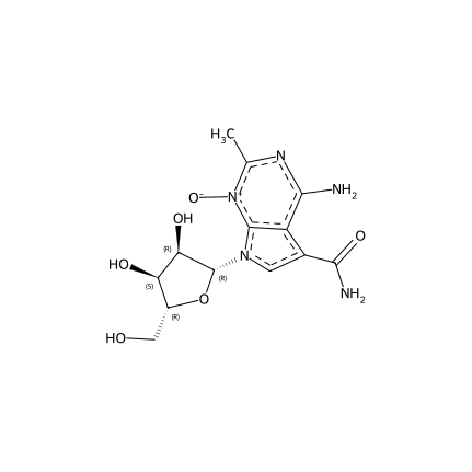 Cc1nc(N)c2c(C(N)=O)cn([C@@H]3O[C@H](CO)[C@@H](O)[C@H]3O)c2[n+]1[O-]